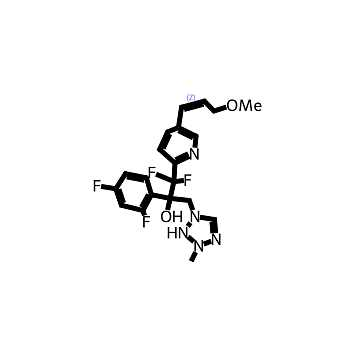 COC/C=C\c1ccc(C(F)(F)C(O)(CN2C=NN(C)N2)c2ccc(F)cc2F)nc1